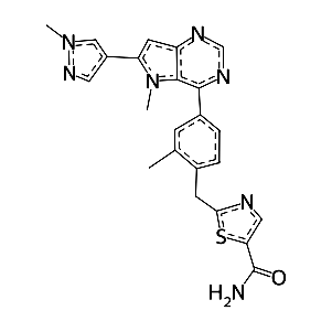 Cc1cc(-c2ncnc3cc(-c4cnn(C)c4)n(C)c23)ccc1Cc1ncc(C(N)=O)s1